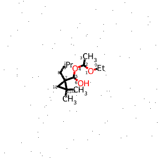 CCOC(C)OC(O)C1(CC(C)C)CC1(C)C